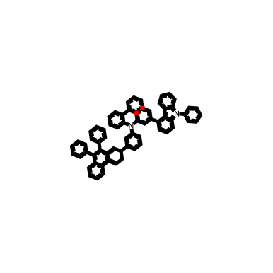 C1=c2c(-c3ccccc3)c(-c3ccccc3)c3ccccc3c2=CCC1c1cccc(N(c2cccc(-c3cccc4c3c3ccccc3n4-c3ccccc3)c2)c2ccccc2-c2ccccc2)c1